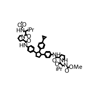 COC(=O)N[C@H](C(=O)N1CCCC1C(=O)Nc1ccc(C2CCC(c3ccc(NC(=O)C4CCCN4C(=O)C(NC4OCO4)C(C)C)cc3)C2c2ccc(C3CC3)cc2)cc1)C(C)C